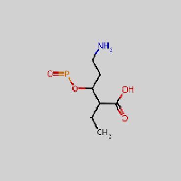 CCC(C(=O)O)C(CCN)OP=O